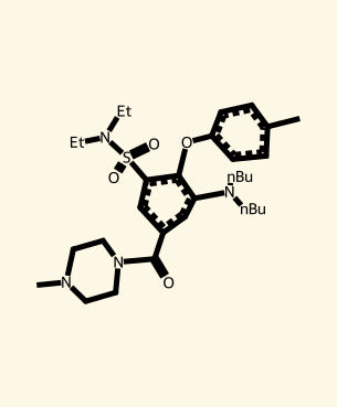 CCCCN(CCCC)c1cc(C(=O)N2CCN(C)CC2)cc(S(=O)(=O)N(CC)CC)c1Oc1ccc(C)cc1